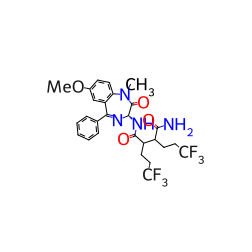 COc1ccc2c(c1)C(c1ccccc1)=N[C@H](NC(=O)C(CCC(F)(F)F)C(CCC(F)(F)F)C(N)=O)C(=O)N2C